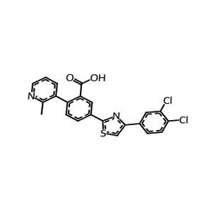 Cc1ncccc1-c1ccc(-c2nc(-c3ccc(Cl)c(Cl)c3)cs2)cc1C(=O)O